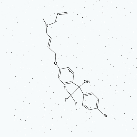 C=CCN(C)C/C=C/COc1ccc(C(O)(c2ccc(Br)cc2)C(F)(F)F)cc1